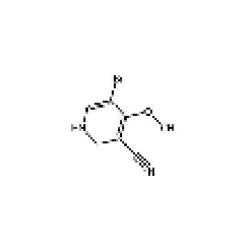 COC1=C(C#N)CNC=C1Br